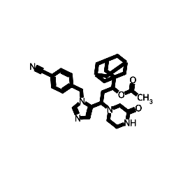 CC(=O)OC(CC(c1cncn1Cc1ccc(C#N)cc1)N1CCNC(=O)C1)C12CC3CC(CC(C3)C1)C2